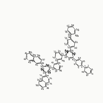 c1ccc(-c2ccc(-c3cc(-c4cccc(-c5cccc(-c6nc(-c7ccc8ccccc8c7)nc(-c7ccc8ccccc8c7)n6)c5)c4)nc(-c4ccc(-c5ccccc5)cc4)n3)cc2)cc1